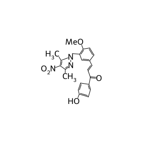 COc1ccc(/C=C/C(=O)c2ccc(O)cc2)cc1Cn1nc(C)c([N+](=O)[O-])c1C